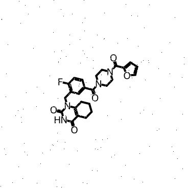 O=C(c1ccc(F)c(Cn2c3c(c(=O)[nH]c2=O)CCCC3)c1)N1CCN(C(=O)c2ccco2)CC1